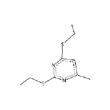 CCSc1cc(C)nc(SCC)n1